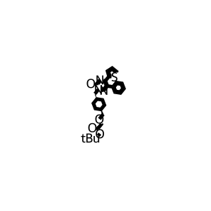 CC(C)(C)OC(=O)COC[C@H]1CC[C@H](Cn2nc(-c3ccccc3)c(-c3cccs3)nc2=O)CC1